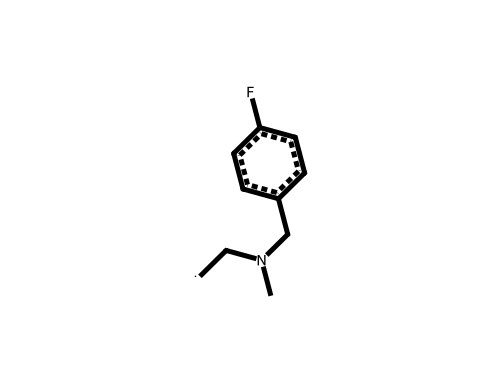 [CH2]CN(C)Cc1ccc(F)cc1